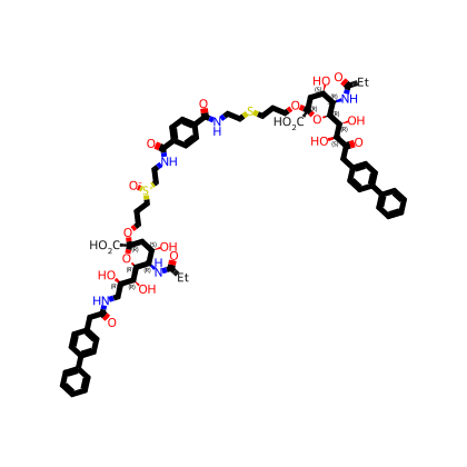 CCC(=O)N[C@H]1[C@H]([C@H](O)[C@H](O)CNC(=O)Cc2ccc(-c3ccccc3)cc2)O[C@@](OCCC[S+]([O-])CCNC(=O)c2ccc(C(=O)NCCSCCCO[C@]3(C(=O)O)C[C@H](O)[C@@H](NC(=O)CC)[C@H]([C@H](O)[C@H](O)C(=O)Cc4ccc(-c5ccccc5)cc4)O3)cc2)(C(=O)O)C[C@@H]1O